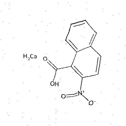 O=C(O)c1c([N+](=O)[O-])ccc2ccccc12.[CaH2]